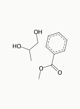 CC(O)CO.COC(=O)c1ccccc1